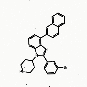 Brc1cccc(-c2nc3c(-c4ccc5ccccc5c4)ccnc3n2C2CCNCC2)c1